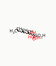 CC(C)=CCC/C(C)=C/CC/C(C)=C/C(O)CCC(P(=O)(O)O)S(=O)(=O)O